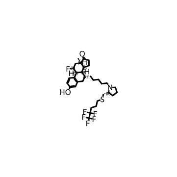 C[C@]12C[C@H](F)[C@@H]3c4ccc(O)cc4C[C@@H](CCCCCN4CCC[C@@H]4CSCCCC(F)(F)C(F)(F)F)[C@H]3[C@@H]1CCC2=O